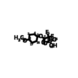 COC1CCC(OC(=O)C(F)(F)S(=O)(=O)O)CC1